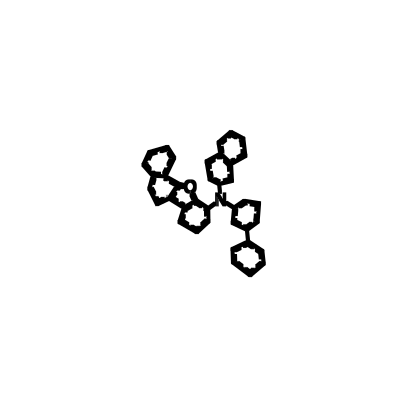 c1ccc(-c2cccc(N(c3ccc4ccccc4c3)c3cccc4c3oc3c5ccccc5ccc43)c2)cc1